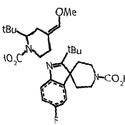 CC(C)(C)C1=Nc2ccc(F)cc2C12CCN(C(=O)O)CC2.CO/C=C1/CCN(C(=O)O)C(C(C)(C)C)C1